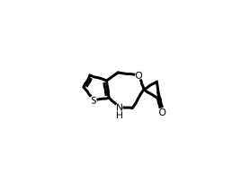 O=C1CC12CNc1sccc1CO2